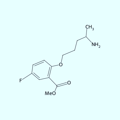 COC(=O)c1cc(F)ccc1OCCCC(C)N